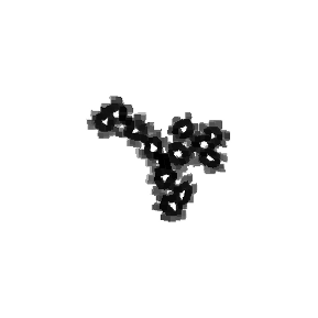 c1ccc(-c2c(-c3ccc(N(c4ccc(-c5ccc(-c6cccc7ccccc67)cc5)cc4)c4cccc(-c5cccc6ccccc56)c4)cc3)c3ccccc3c3ccccc23)cc1